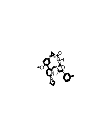 COc1ccc([C@@H]2C[C@H]2C(=O)O)cc1-c1ccc(N2CCC2)nc1CN1C(=O)O[C@H](c2cccc(C)c2)[C@@H]1C